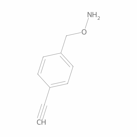 C#Cc1ccc(CON)cc1